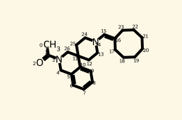 CC(=O)N1Cc2ccccc2C2(CCN(C=C3CCCCCCC3)CC2)C1